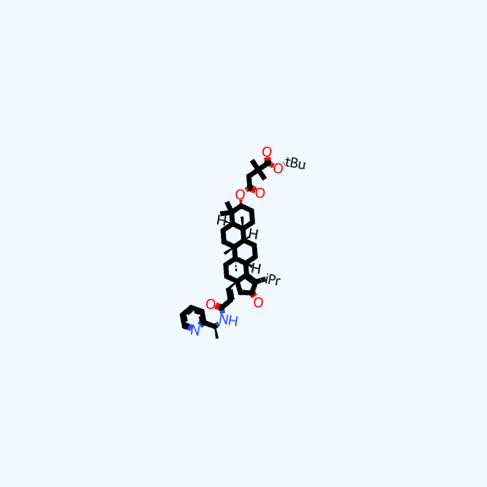 CC(C)C1=C2[C@H]3CC[C@@H]4[C@@]5(C)CC[C@H](OC(=O)CC(C)(C)C(=O)OC(C)(C)C)C(C)(C)[C@@H]5CC[C@@]4(C)[C@]3(C)CC[C@@]2(/C=C/C(=O)N[C@@H](C)c2ccccn2)CC1=O